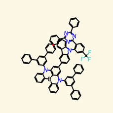 FC(F)(F)c1ccc(-c2nc(-c3ccccc3)nc(-c3ccccc3)n2)c(-n2c3ccccc3c3cc(-c4cc5c6c(c4)N(c4cc(-c7ccccc7)cc(-c7ccccc7)c4)c4ccccc4B6c4ccccc4N5c4cc(-c5ccccc5)cc(-c5ccccc5)c4)ccc32)c1